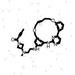 CC#CC(=O)N1CC(N(C)CCNc2cc3cc(c2)Nc2nccc(n2)-c2cccc(c2)OCC/C=C/COC3)C1